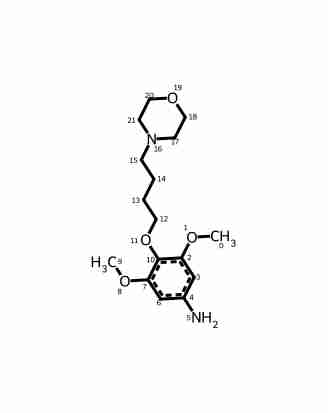 COc1cc(N)cc(OC)c1OCCCCN1CCOCC1